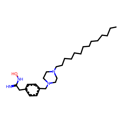 CCCCCCCCCCCCCCN1CCN(Cc2ccc(CC(=N)NO)cc2)CC1